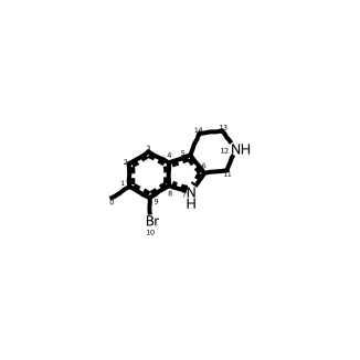 Cc1ccc2c3c([nH]c2c1Br)CNCC3